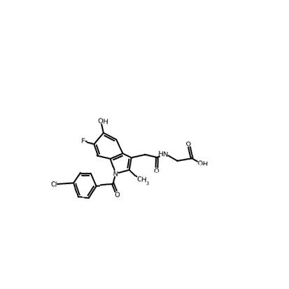 Cc1c(CC(=O)NCC(=O)O)c2cc(O)c(F)cc2n1C(=O)c1ccc(Cl)cc1